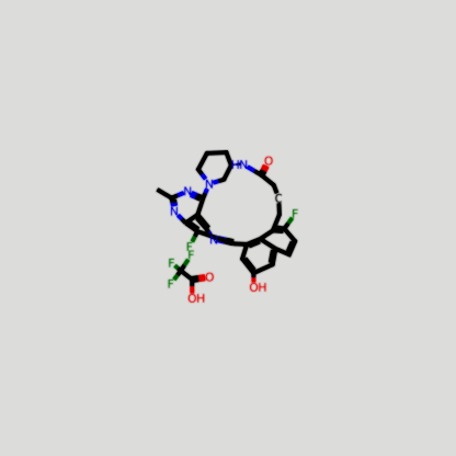 Cc1nc2c3cnc(c(F)c3n1)-c1cc(O)cc3ccc(F)c(c13)CCCC(=O)N[C@]1(C)CCCN2C1.O=C(O)C(F)(F)F